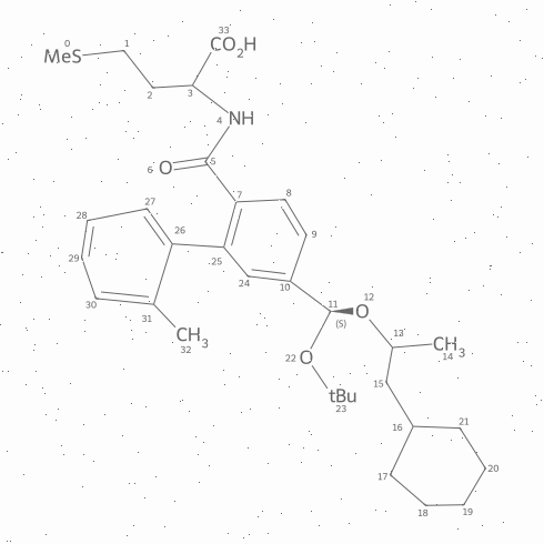 CSCCC(NC(=O)c1ccc([C@@H](OC(C)CC2CCCCC2)OC(C)(C)C)cc1-c1ccccc1C)C(=O)O